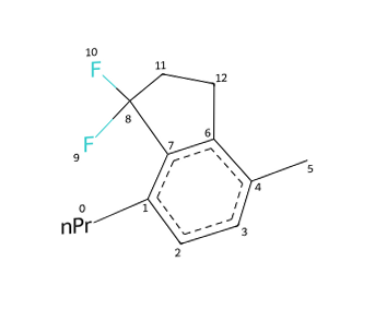 CCCc1ccc(C)c2c1C(F)(F)CC2